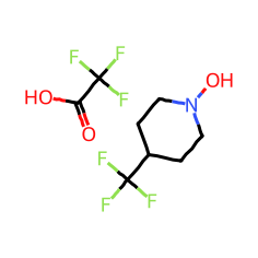 O=C(O)C(F)(F)F.ON1CCC(C(F)(F)F)CC1